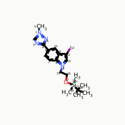 Cn1cnc(-c2ccc3c(c2)c(I)cn3CCO[Si](C)(C)C(C)(C)C)n1